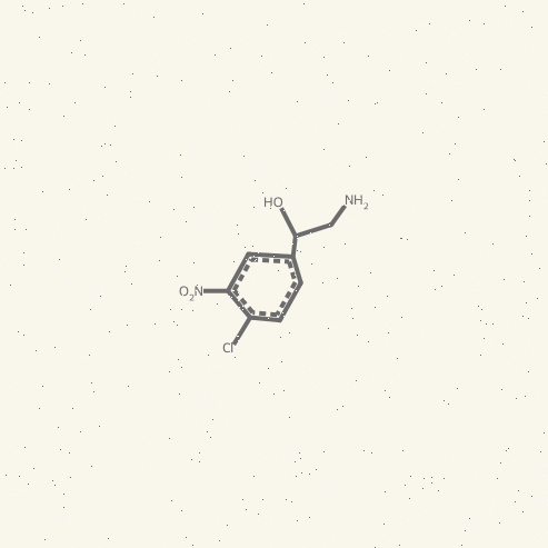 NCC(O)c1ccc(Cl)c([N+](=O)[O-])c1